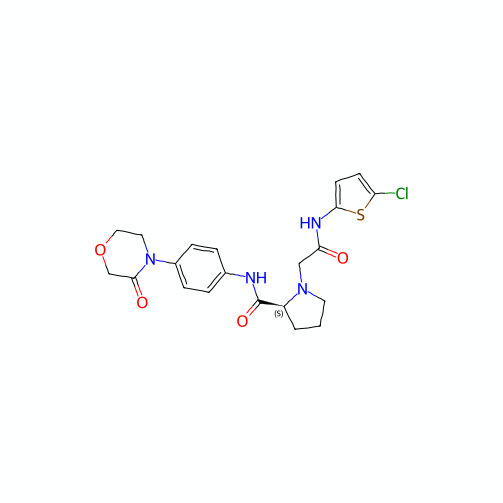 O=C(CN1CCC[C@H]1C(=O)Nc1ccc(N2CCOCC2=O)cc1)Nc1ccc(Cl)s1